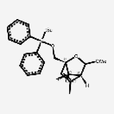 COC1O[C@@]2(CO[Si](c3ccccc3)(c3ccccc3)C(C)(C)C)C=C(C)[C@@H]1[C@@H]2OC